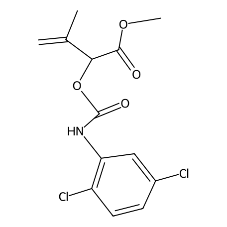 C=C(C)C(OC(=O)Nc1cc(Cl)ccc1Cl)C(=O)OC